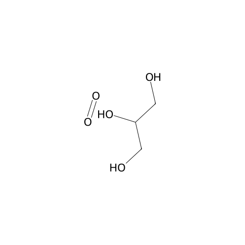 O=O.OCC(O)CO